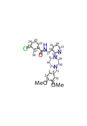 COc1ccc(CN2CCCN(c3ncccc3CNC(=O)c3cccc(Cl)c3C)CC2)cc1OC